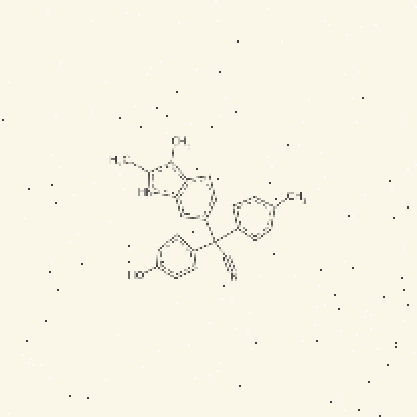 Cc1ccc(C(C#N)(c2ccc(O)cc2)c2ccc3c(C)c(C)[nH]c3c2)cc1